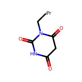 CC(C)CN1C(=O)CC(=O)NC1=O